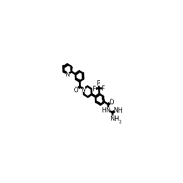 N=C(N)NC(=O)c1ccc(C2CCN(C(=O)c3cccc(-c4ccccn4)c3)CC2)c(C(F)(F)F)c1